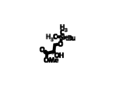 COC(=O)[C@H](O)CO[Si](C)(C)C(C)(C)C